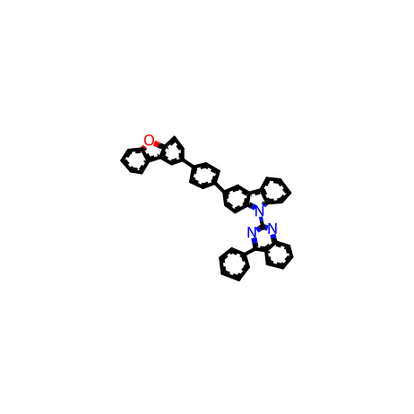 c1ccc(-c2nc(-n3c4ccccc4c4cc(-c5ccc(-c6ccc7oc8ccccc8c7c6)cc5)ccc43)nc3ccccc23)cc1